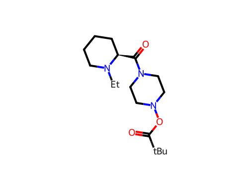 CCN1CCCC[C@H]1C(=O)N1CCN(OC(=O)C(C)(C)C)CC1